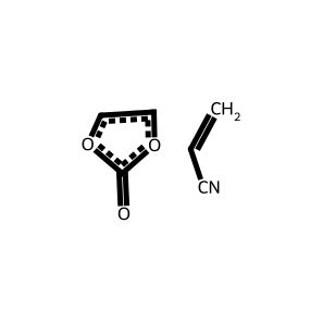 C=CC#N.O=c1occo1